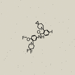 O=C(Nc1ccc(OCF)c(N2CCC(F)(F)CC2)c1)c1ccc(I)cc1N1CCC2(CC1)CC2